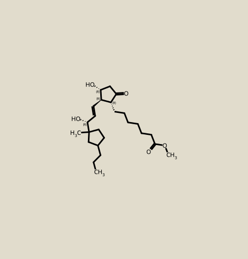 CCCC1CCC(C)([C@H](O)C=C[C@H]2[C@H](O)CC(=O)[C@@H]2CCCCCCC(=O)OC)C1